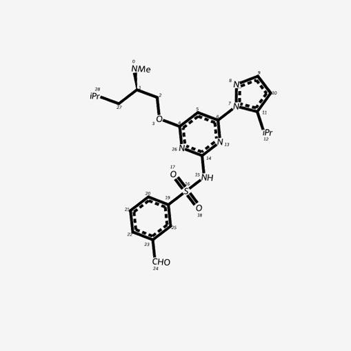 CN[C@@H](COc1cc(-n2nccc2C(C)C)nc(NS(=O)(=O)c2cccc(C=O)c2)n1)CC(C)C